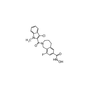 Cn1c(C(=O)N2CCCc3cc(C(=O)NO)cc(F)c3C2)c(Cl)c2ccccc21